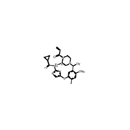 C=CC(=O)N1CCN(C(O)c2cc(Sc3cnc(NC(=O)C4CC4)s3)c(C)cc2OC)C[C@H]1CC